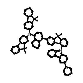 CC1(C)c2ccccc2-c2ccc(N(c3ccc4c(c3)C(C)(C)c3ccccc3-4)c3ccc(-c4ccc5c(c4)C(C)(C)c4cccc(-n6c7ccccc7c7cc(-c8ccccc8)ccc76)c4-5)c4ccccc34)cc21